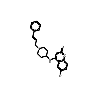 O=c1cc(NC2CCN(C/C=C/c3ccccc3)CC2)c2cc(Br)ccc2o1